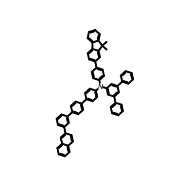 CC1(C)c2ccccc2-c2ccc(-c3ccc(N(c4ccc(-c5ccc(-c6cccc(-c7ccc8ccccc8c7)c6)cc5)cc4)c4cc(-c5ccccc5)cc(-c5ccccc5)c4)cc3)cc21